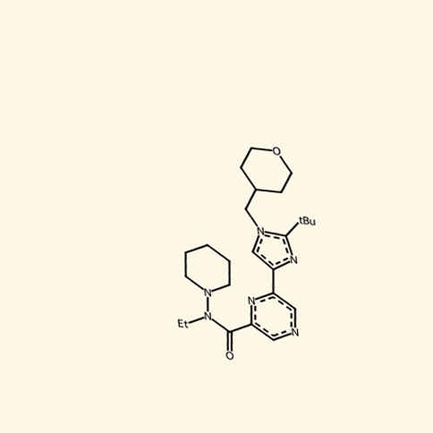 CCN(C(=O)c1cncc(-c2cn(CC3CCOCC3)c(C(C)(C)C)n2)n1)N1CCCCC1